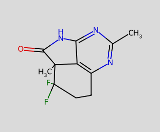 Cc1nc2c3c(n1)NC(=O)C3(C)C(F)(F)CC2